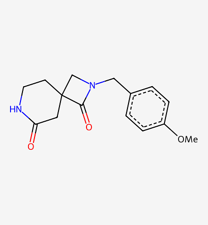 COc1ccc(CN2CC3(CCNC(=O)C3)C2=O)cc1